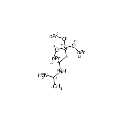 CCCO[Si](CCNC(C)N)(OCCC)OCCC